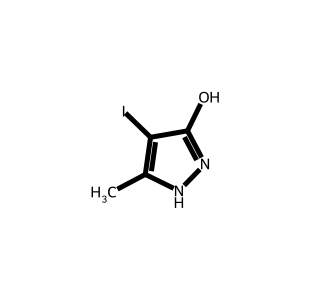 Cc1[nH]nc(O)c1I